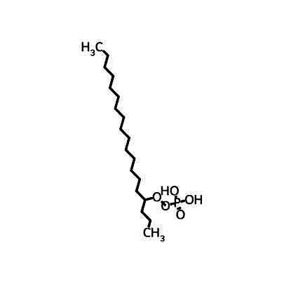 CCCCCCCCCCCCCCCC(CCC)OOP(=O)(O)O